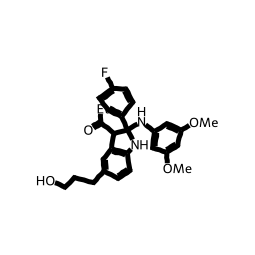 CCC(=O)C1c2cc(CCCO)ccc2NC1(Nc1cc(OC)cc(OC)c1)c1ccc(F)cc1